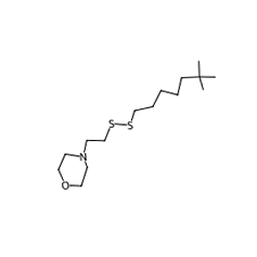 CC(C)(C)CCCCCSSCCN1CCOCC1